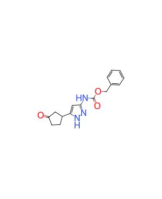 O=C1CCC(c2cc(NC(=O)OCc3ccccc3)n[nH]2)C1